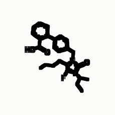 CCCCc1c(F)n(C(C)CC)c(=O)n1Cc1ccc(-c2ccccc2C(=O)O)cc1